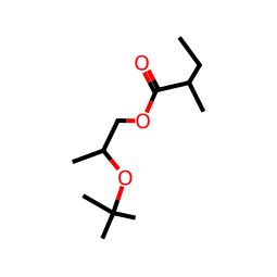 CCC(C)C(=O)OCC(C)OC(C)(C)C